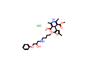 COC(=O)C1=C(C)NC(C)=C(C(=O)OC)C1c1cc(C)sc1OCCCCNCC(O)COc1ccccc1.Cl